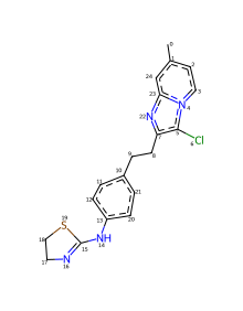 Cc1ccn2c(Cl)c(CCc3ccc(NC4=NCCS4)cc3)nc2c1